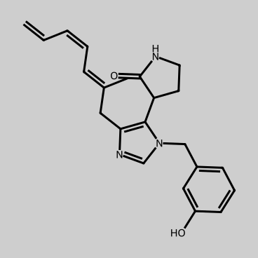 C=C/C=C\C=C(/C)Cc1ncn(Cc2cccc(O)c2)c1C1CCNC1=O